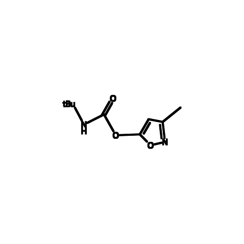 Cc1cc(OC(=O)NC(C)(C)C)on1